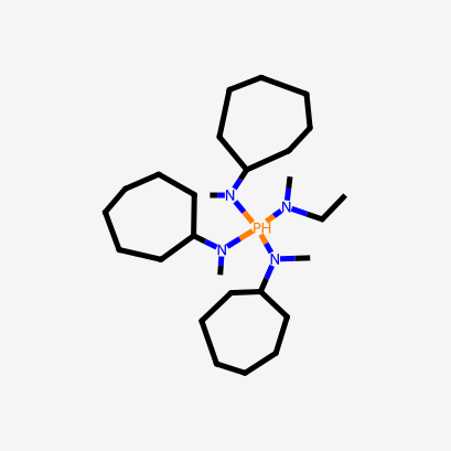 CCN(C)[PH](N(C)C1CCCCCC1)(N(C)C1CCCCCC1)N(C)C1CCCCCC1